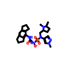 CC1CCC(CN(c2cnn(C)c2)S(=O)(=O)[NH+]([O-])C(=O)Nc2c3c(cc4c2CCC4)CCC3)N1C